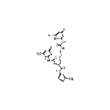 Cc1cccc(NC(=O)C(CCCCNC(=O)Nc2nc(=O)cc(C)[nH]2)NC(=O)Nc2nc(=O)cc(C)[nH]2)c1